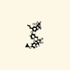 CCCc1cc(C(O)(C(F)(F)F)C(F)(F)F)ccc1Oc1ccnc(CN2C(=O)NC(C)(c3ccc(OC4CC4)cn3)C2=O)c1